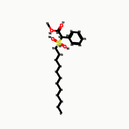 CCCCCCCCCCCCS(=O)(=O)C(C(=O)OC)c1ccccc1